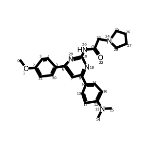 COc1ccc(-c2cc(-c3ccc(N(C)C)cc3)nc(NC(=O)CN3CCCC3)n2)cc1